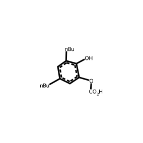 CCCCc1cc(CCCC)c(O)c(OC(=O)O)c1